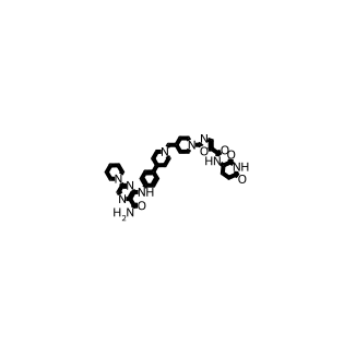 NC(=O)c1ncc(N2CCCCC2)nc1Nc1ccc(C2CCN(CC3CCN(c4ncc(C(=O)NC5CCC(=O)NC5=O)o4)CC3)CC2)cc1